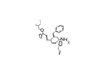 C=CCOC1(N)C=CC(C=CC(=O)OCC(C)CC)C(=Cc2ccccc2)C1